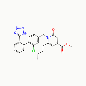 CCCCc1cc(C(=O)OC)cc(=O)n1Cc1ccc(-c2ccccc2-c2nnn[nH]2)c(Cl)c1